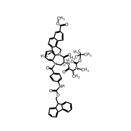 COC(=O)c1ccc2c(CN3C(=O)[C@@H](NC(=O)C(C)N(C)C(=O)OC(C)(C)C)CN(C(=O)c4ccc(NC(=O)OCC5c6ccccc6-c6ccccc65)cc4)c4ccccc43)c(OC)ccc2c1